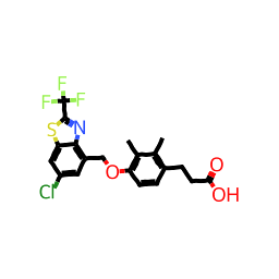 Cc1c(CCC(=O)O)ccc(OCc2cc(Cl)cc3sc(C(F)(F)F)nc23)c1C